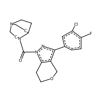 O=C(N1CCN2CCC1CC2)n1nc(-c2ccc(F)c(Cl)c2)c2c1CCOC2